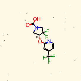 O=C(O)N1C[C@H](Oc2cc(C(F)(F)F)ccn2)C(F)(F)C1